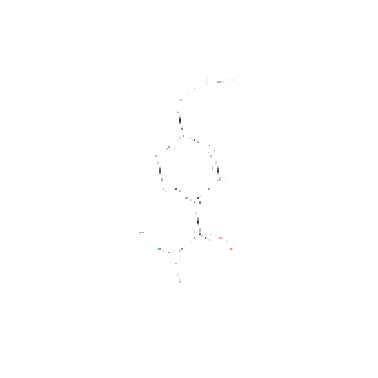 CCCCCCCCc1ccc(C(=O)C(Cl)Cl)cc1